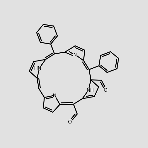 O=CC1=C2C=CC(=N2)C=c2ccc([nH]2)=C(c2ccccc2)C2=NC(=C(c3ccccc3)C3(C=O)CC=C1N3)C=C2